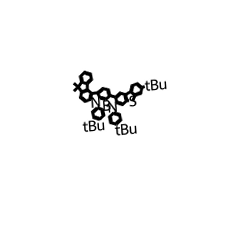 CC(C)(C)c1ccc(N2B3c4cc(C(C)(C)C)ccc4-n4c5ccc6c(c5c5ccc(c3c54)-c3cc4c(cc32)sc2cc(C(C)(C)C)ccc24)-c2ccccc2C6(C)C)cc1